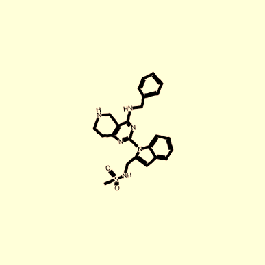 CS(=O)(=O)NCc1cc2ccccc2n1-c1nc2c(c(NCc3ccccc3)n1)CNCC2